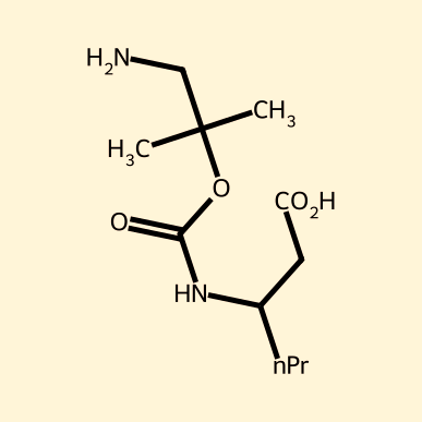 CCCC(CC(=O)O)NC(=O)OC(C)(C)CN